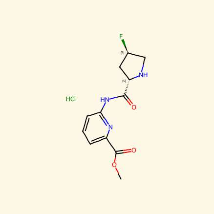 COC(=O)c1cccc(NC(=O)[C@@H]2C[C@@H](F)CN2)n1.Cl